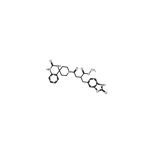 COC(=O)C(CC(=O)N1CCC2(CC1)NC(=O)Nc1ccccc12)Cc1ccc2[nH]c(=O)oc2c1